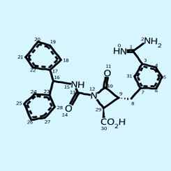 N=C(N)c1cccc(C[C@H]2C(=O)N(C(=O)NC(c3ccccc3)c3ccccc3)[C@@H]2C(=O)O)c1